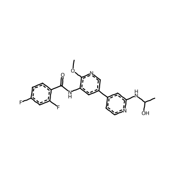 COc1ncc(-c2ccnc(NC(C)O)c2)cc1NC(=O)c1ccc(F)cc1F